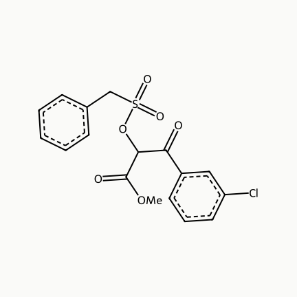 COC(=O)C(OS(=O)(=O)Cc1ccccc1)C(=O)c1cccc(Cl)c1